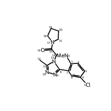 CNc1ccc(Cl)cc1-c1nnc(C)n1CC(=O)N1CCCC1